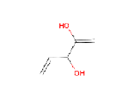 C=CC(O)C(=C)O